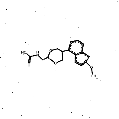 COc1ccc2c(C3COC(CNC(=O)O)OC3)cccc2c1